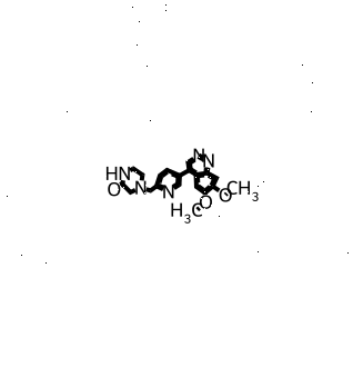 COc1cc2nncc(-c3ccc(CN4CCNC(=O)C4)nc3)c2cc1OC